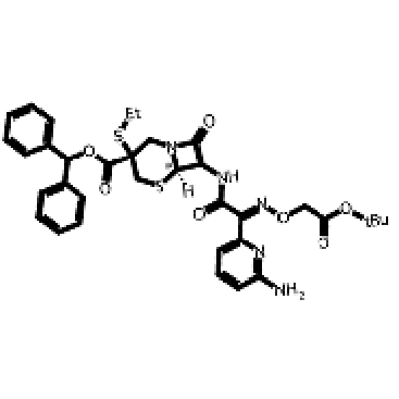 CCSC1(C(=O)OC(c2ccccc2)c2ccccc2)CS[C@@H]2C(NC(=O)C(=NOCC(=O)OC(C)(C)C)c3cccc(N)n3)C(=O)N2C1